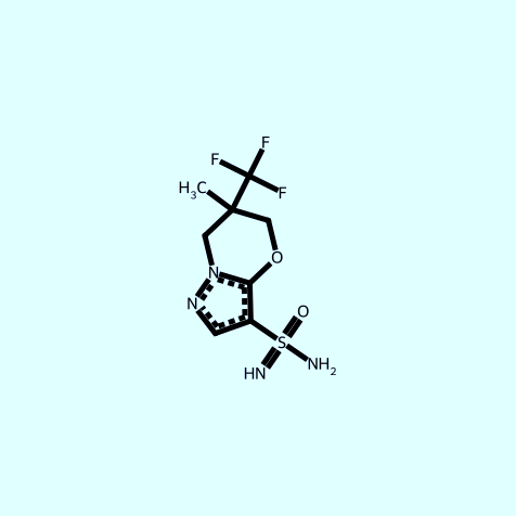 CC1(C(F)(F)F)COc2c(S(=N)(N)=O)cnn2C1